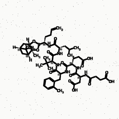 C=CCC[C@H](NC(=O)[C@H](CC(C)C)NC(=O)[C@@H](NC(=O)[C@H](Cc1ccccc1C)NC(=O)[C@H](CCC(=O)O)NC(=O)[C@H](CC(=O)O)NC(=O)CCC(=O)O)C(C)(C)C)B1O[C@@H]2C[C@@H]3C[C@@H](C3(C)C)[C@]2(C)O1